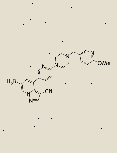 Bc1cc(-c2ccc(N3CCN(Cc4ccc(OC)nc4)CC3)nc2)c2c(C#N)cnn2c1